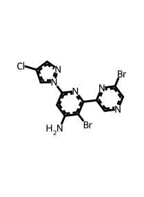 Nc1cc(-n2cc(Cl)cn2)nc(-c2cncc(Br)n2)c1Br